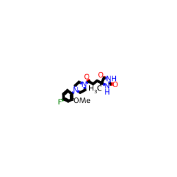 COc1cc(F)ccc1N1CCN(C(=O)CC[C@@]2(C)NC(=O)NC2=O)CC1